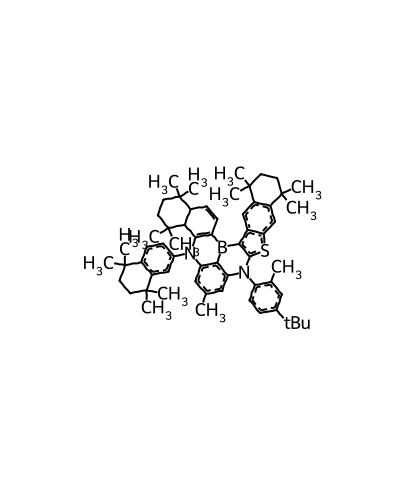 Cc1cc2c3c(c1)N(c1ccc(C(C)(C)C)cc1C)c1sc4cc5c(cc4c1B3C1=C(C3C(C=C1)C(C)(C)CCC3(C)C)N2c1ccc2c(c1)C(C)(C)CCC2(C)C)C(C)(C)CCC5(C)C